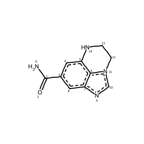 NC(=O)c1cc2c3c(c1)ncn3CCN2